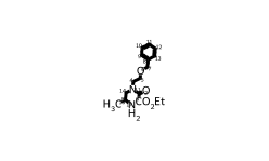 CCOC(=O)C(=O)N(CCOCc1ccccc1)C[C@H](C)N